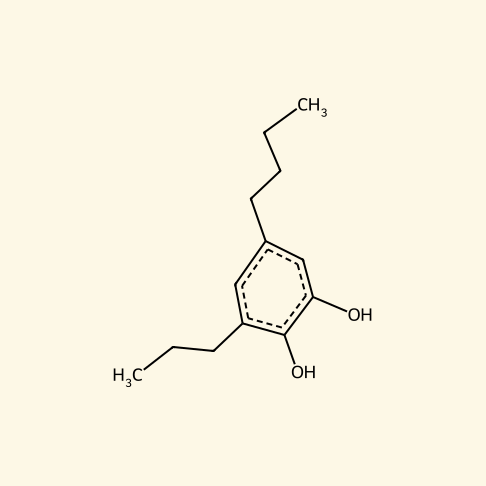 CCCCc1cc(O)c(O)c(CCC)c1